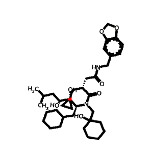 CC(C)C[C@H](O)[C@H](O)[C@H](CC1CCCCC1)N(CC1(O)CCCCC1)C(=O)[C@@H](CC(=O)NCc1ccc2c(c1)OCO2)CC1CC1